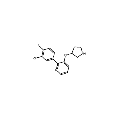 Fc1ccc(-c2ncccc2NC2CCNC2)cc1Cl